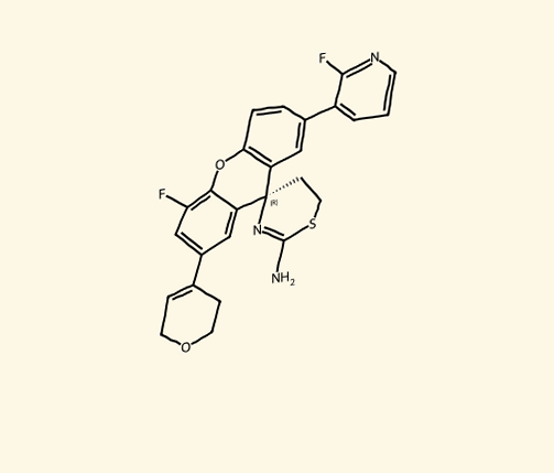 NC1=N[C@]2(CCS1)c1cc(-c3cccnc3F)ccc1Oc1c(F)cc(C3=CCOCC3)cc12